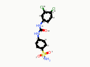 NS(=O)(=O)c1ccc(NC(=O)Nc2ccc(Cl)c(Cl)c2)cc1